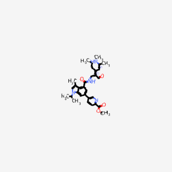 CCCC(/C=C(/C)NC)=C(/C=O)CNC(=O)c1cc(-c2ccc(C(=O)OC)nc2)cc2c1c(C)cn2C(C)C